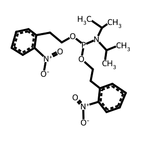 CC(C)N(C(C)C)P(OCCc1ccccc1[N+](=O)[O-])OCCc1ccccc1[N+](=O)[O-]